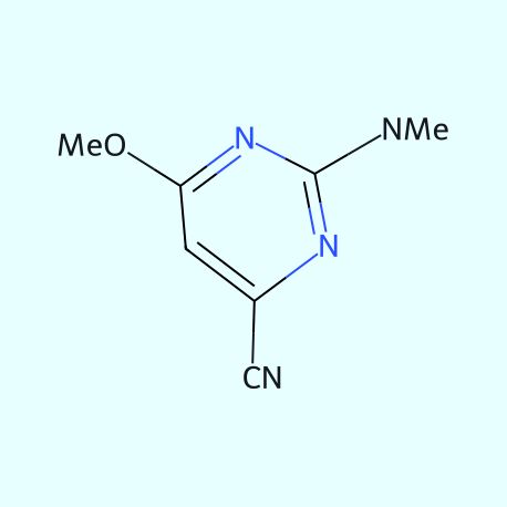 CNc1nc(C#N)cc(OC)n1